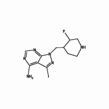 Nc1ncnc2c1c(I)nn2CC1CCNCC1F